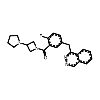 O=C(c1cc(Cc2nncc3ccccc23)ccc1F)N1CC(N2CCCC2)C1